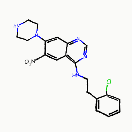 O=[N+]([O-])c1cc2c(NCCc3ccccc3Cl)ncnc2cc1N1CCNCC1